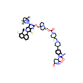 C#Cc1c(F)ccc2cccc(-c3ncc4c(N5C[C@H]6CC[C@@H](C5)N6)nc(OC[C@@]56CCCN5[C@H](COC(=O)N5CCC(F)(CN7CCC(c8ccc9c(c8)n(C)c(=O)n9C8CCC(=O)NC8=O)CC7)CC5)CC6)nc4c3F)c12